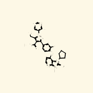 CCc1c(C(N)=O)c(-c2ccc(Oc3ccnc4[nH]c(=O)n(C5CCCC5)c34)c(F)c2)nn1-c1cncnc1